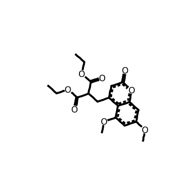 CCOC(=O)C(Cc1cc(=O)oc2cc(OC)cc(OC)c12)C(=O)OCC